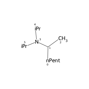 CCCCCC(C)N(C(C)C)C(C)C